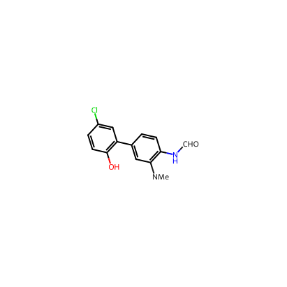 CNc1cc(-c2cc(Cl)ccc2O)ccc1NC=O